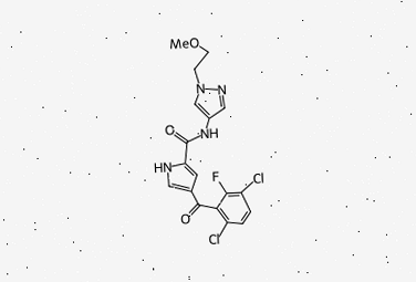 COCCn1cc(NC(=O)c2cc(C(=O)c3c(Cl)ccc(Cl)c3F)c[nH]2)cn1